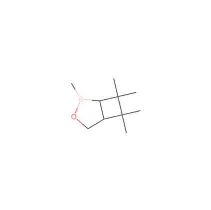 CB1OCC2C1C(C)(C)C2(C)C